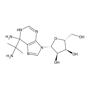 CC(C)(N)C1(N)NC=Nc2c1ncn2[C@@H]1O[C@H](CO)[C@@H](O)[C@H]1O